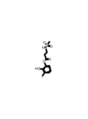 CS(=O)(=O)NCCC(=O)Oc1cccc(I)c1O